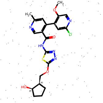 COc1cnc(Cl)cc1-c1cc(C)ncc1C(=O)Nc1nnc(OC[C@H]2CCC[C@H]2O)s1